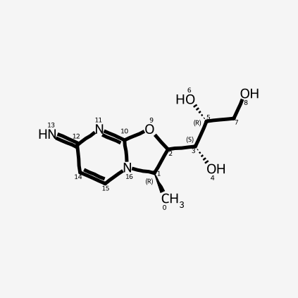 C[C@@H]1C([C@@H](O)[C@H](O)CO)Oc2nc(=N)ccn21